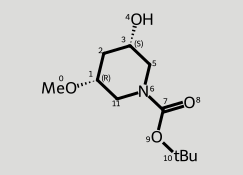 CO[C@@H]1C[C@H](O)CN(C(=O)OC(C)(C)C)C1